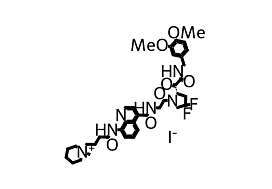 COc1ccc(CNC(=O)C(=O)[C@@H]2CC(F)(F)CN2C(=O)CNC(=O)c2ccnc3c(NC(=O)CCC[N+]4(C)CCCCC4)cccc23)cc1OC.[I-]